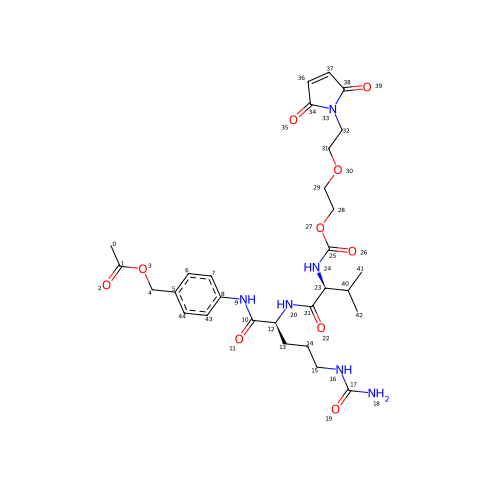 CC(=O)OCc1ccc(NC(=O)[C@H](CCCNC(N)=O)NC(=O)[C@@H](NC(=O)OCCOCCN2C(=O)C=CC2=O)C(C)C)cc1